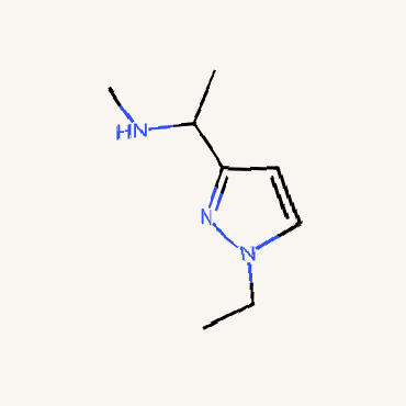 CCn1ccc(C(C)NC)n1